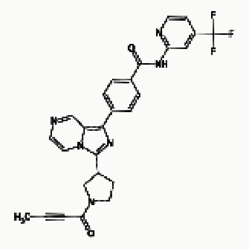 CC#CC(=O)N1CCC(c2nc(-c3ccc(C(=O)Nc4cc(C(F)(F)F)ccn4)cc3)c3cnccn23)C1